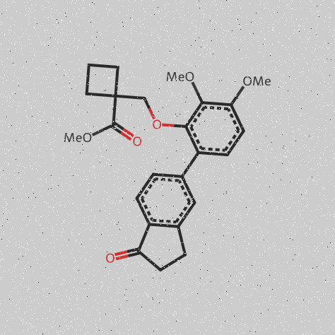 COC(=O)C1(COc2c(-c3ccc4c(c3)CCC4=O)ccc(OC)c2OC)CCC1